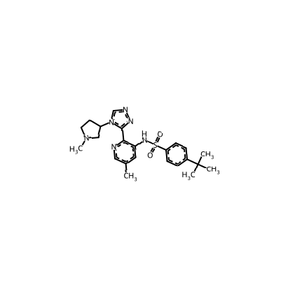 Cc1cnc(-c2nncn2C2CCN(C)C2)c(NS(=O)(=O)c2ccc(C(C)(C)C)cc2)c1